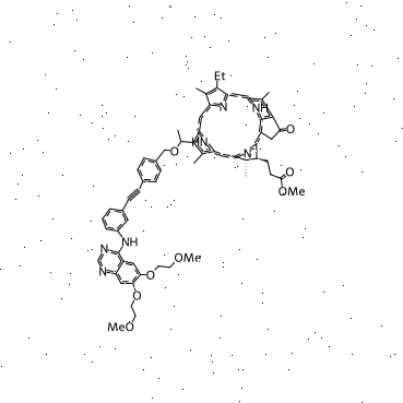 CCC1=C(C)c2cc3[nH]c(cc4nc(c5c6[nH]c(cc1n2)c(C)c6C(=O)C5)[C@@H](CCC(=O)OC)[C@@H]4C)c(C)c3C(C)OCc1ccc(C#Cc2cccc(Nc3ncnc4cc(OCCOC)c(OCCOC)cc34)c2)cc1